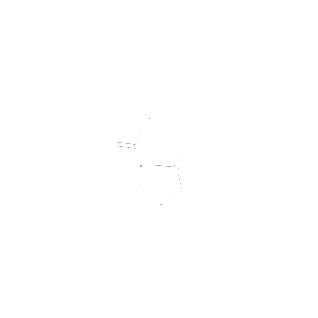 NC(=O)[C@H]1CCCN1C(=O)O